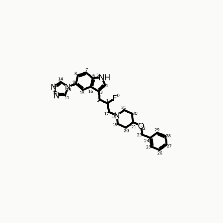 FC(Cc1c[nH]c2ccc(-n3cnnc3)cc12)CN1CCC(OCc2ccccc2)CC1